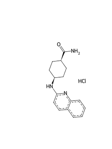 Cl.NC(=O)[C@H]1CC[C@@H](Nc2ccc3ccccc3n2)CC1